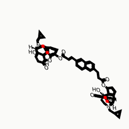 O=C(CCc1ccc2cc(CCC(=O)OC3C=CC4=C3[C@]35CCN(CC6CC6)[C@H](C4)[C@]3(O)CCC(=O)[C@@H]5O)ccc2c1)Oc1ccc2c3c1O[C@H]1C(=O)CC[C@@]4(O)[C@@H](C2)N(CC2CC2)CC[C@]314